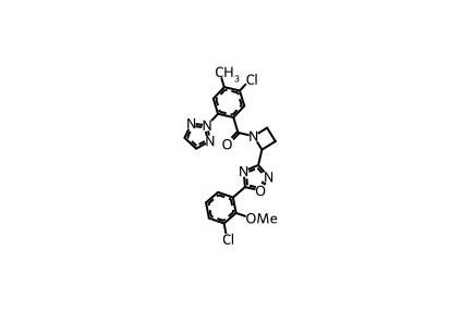 COc1c(Cl)cccc1-c1nc(C2CCN2C(=O)c2cc(Cl)c(C)cc2-n2nccn2)no1